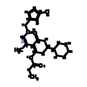 CCC(=O)OC1=C(/C(C)=N\OCc2ccc(Cl)s2)C(=O)CC(C2CCCSC2)C1